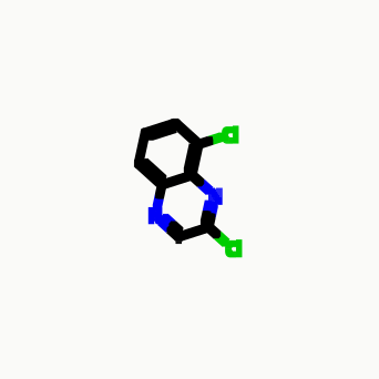 Clc1[c]nc2cccc(Cl)c2n1